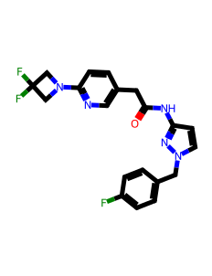 O=C(Cc1ccc(N2CC(F)(F)C2)nc1)Nc1ccn(Cc2ccc(F)cc2)n1